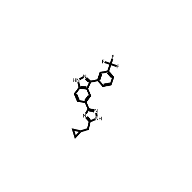 FC(F)(F)c1cccc(-c2n[nH]c3ccc(-c4n[nH]c(CC5CC5)n4)cc23)c1